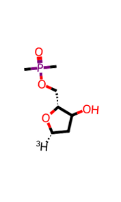 [3H][C@H]1CC(O)[C@@H](COP(C)(C)=O)O1